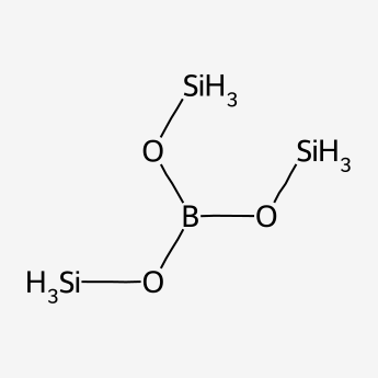 [SiH3]OB(O[SiH3])O[SiH3]